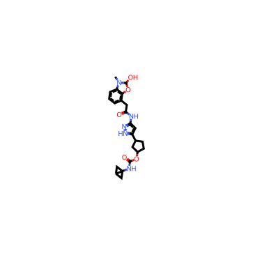 CN1c2cccc(CC(=O)Nc3cc(C4CCC(OC(=O)NC56CC5C6)C4)[nH]n3)c2OC1O